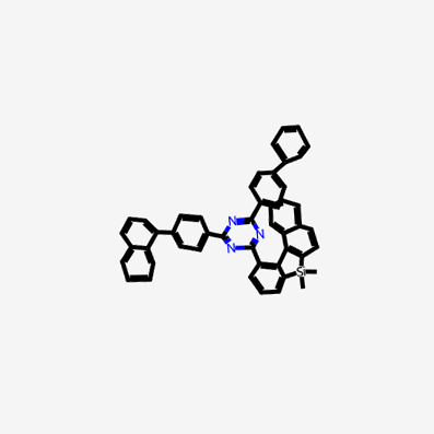 C[Si]1(C)c2cccc(-c3nc(-c4ccc(-c5ccccc5)cc4)nc(-c4ccc(-c5cccc6ccccc56)cc4)n3)c2-c2c1ccc1ccccc21